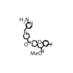 CON=C1CC2(CCN(C(=O)C3CCN(Cc4ccnc(N)c4)CC3)CC2)Oc2ccc(F)cc21